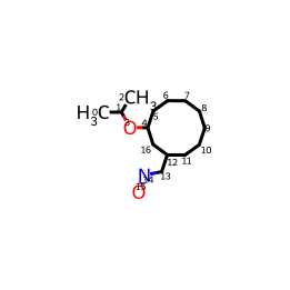 CC(C)OC1CCCCCCCC(CN=O)C1